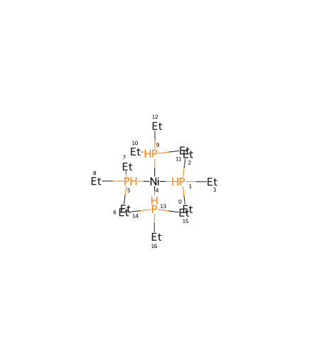 CC[PH](CC)(CC)[Ni]([PH](CC)(CC)CC)([PH](CC)(CC)CC)[PH](CC)(CC)CC